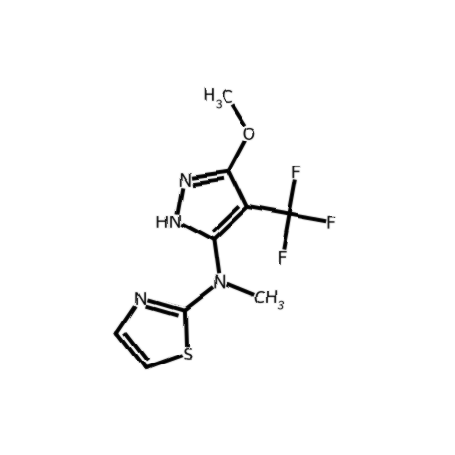 COc1n[nH]c(N(C)c2nccs2)c1C(F)(F)F